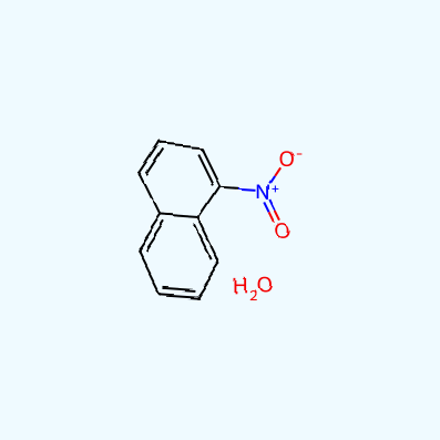 O.O=[N+]([O-])c1cccc2ccccc12